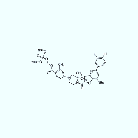 Cc1nc(N2CCN(C(=O)c3cc4nc(-c5ccc(Cl)c(F)c5)cc(C(C)(C)C)c4o3)C(C)(C)C2)ccc1C(=O)OCOP(=O)(OC(C)(C)C)OC(C)(C)C